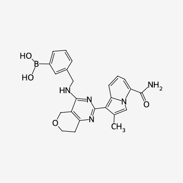 Cc1cn2c(C(N)=O)cccc2c1-c1nc2c(c(NCc3cccc(B(O)O)c3)n1)COCC2